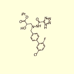 CC(C)OC(=O)C(O)CN(Cc1ccc(-c2cc(Cl)ccc2F)cc1)NC(=O)c1nnn[nH]1